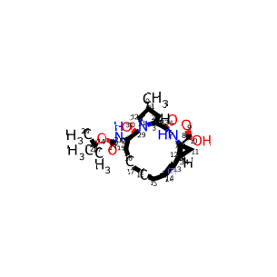 C[C@@H]1C[C@H]2C(=O)N[C@]3(C(=O)O)C[C@H]3/C=C\CCCCC[C@H](NC(=O)OC(C)(C)C)C(=O)N2C1